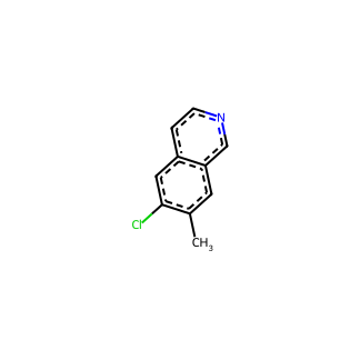 Cc1cc2cnccc2cc1Cl